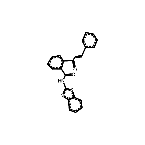 O=C(C=Cc1ccccc1)c1ccccc1C(=O)Nc1nc2ccccc2s1